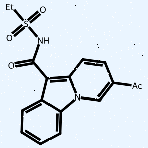 CCS(=O)(=O)NC(=O)c1c2ccccc2n2cc(C(C)=O)ccc12